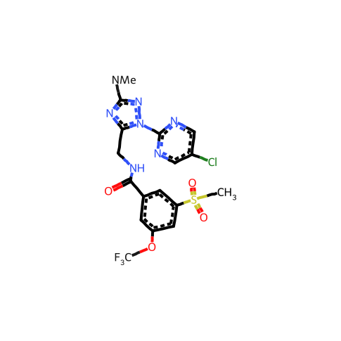 CNc1nc(CNC(=O)c2cc(OC(F)(F)F)cc(S(C)(=O)=O)c2)n(-c2ncc(Cl)cn2)n1